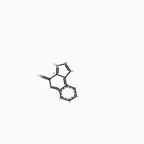 O=C1C=c2ccccc2=C2C=CN=C12